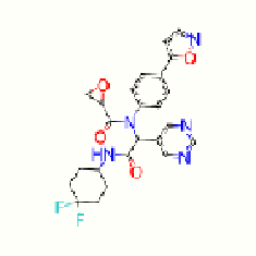 O=C(NC1CCC(F)(F)CC1)C(c1cncnc1)N(C(=O)C1CO1)c1ccc(-c2ccno2)cc1